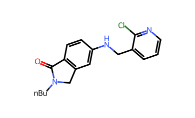 CCCCN1Cc2cc(NCc3cccnc3Cl)ccc2C1=O